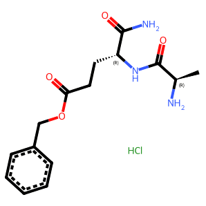 C[C@@H](N)C(=O)N[C@H](CCC(=O)OCc1ccccc1)C(N)=O.Cl